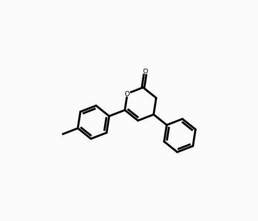 Cc1ccc(C2=CC(c3ccccc3)CC(=O)O2)cc1